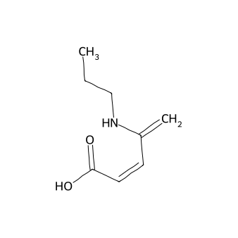 C=C(/C=C\C(=O)O)NCCC